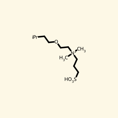 CC(C)CCOCC[N+](C)(C)CCCS(=O)(=O)O